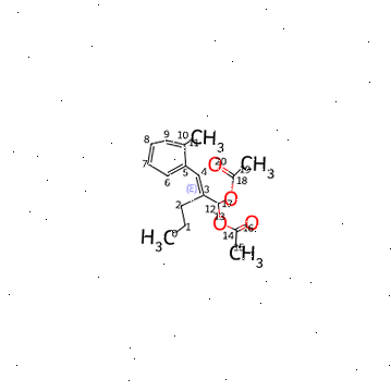 CCC/C(=C\c1ccccc1C)C(OC(C)=O)OC(C)=O